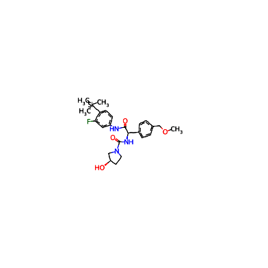 COCc1ccc([C@@H](NC(=O)N2CC[C@@H](O)C2)C(=O)Nc2ccc([Si](C)(C)C)c(F)c2)cc1